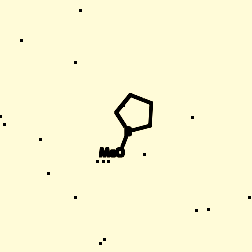 COB1CCCC1